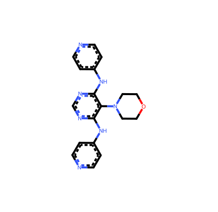 c1cc(Nc2ncnc(Nc3ccncc3)c2N2CCOCC2)ccn1